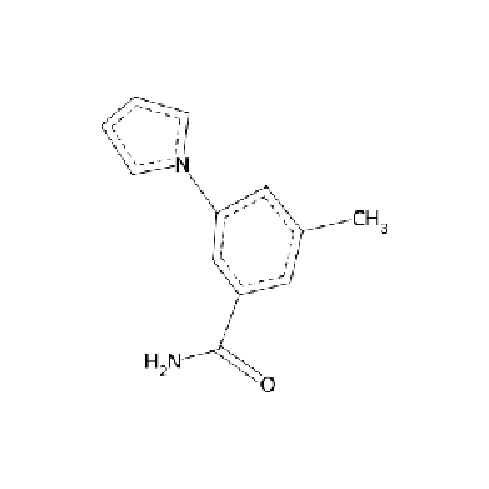 Cc1cc(C(N)=O)cc(-n2cccc2)c1